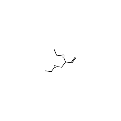 C=CC(COCC)OCC